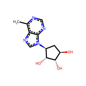 Cc1ncnc2c1ncn2[C@H]1C[C@@H](O)[C@H](O)[C@@H]1O